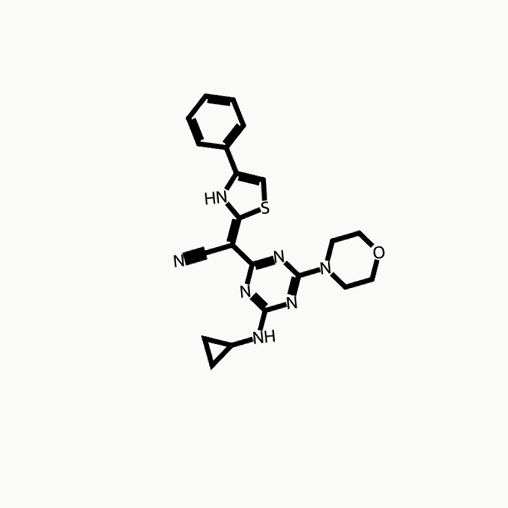 N#CC(=C1NC(c2ccccc2)=CS1)c1nc(NC2CC2)nc(N2CCOCC2)n1